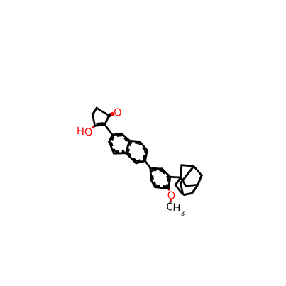 COc1ccc(-c2ccc3cc(C4=C(O)CCC4=O)ccc3c2)cc1C12CC3CC(CC(C3)C1)C2